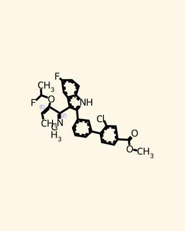 C/C=C(OC(C)F)\C(=N/C)c1c(-c2cccc(-c3ccc(C(=O)OC)cc3Cl)c2)[nH]c2ccc(F)cc12